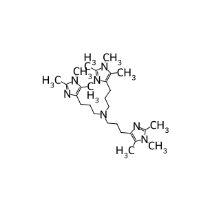 Cc1nc(CCCN(CCCc2nc(C)n(C)c2C)CCCc2nc(C)n(C)c2C)c(C)n1C